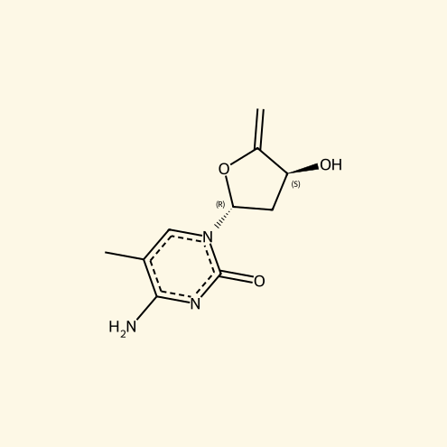 C=C1O[C@@H](n2cc(C)c(N)nc2=O)C[C@@H]1O